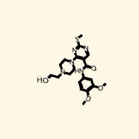 COc1ccc(NC(=O)c2cnc(SC)nc2N2CCN(CCO)CC2)cc1OC